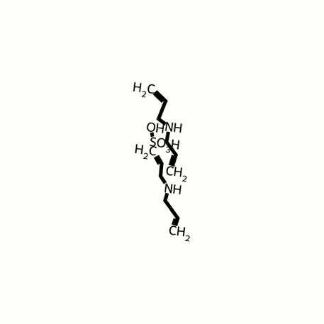 C=CCNCC=C.C=CCNCC=C.O=S(=O)(O)O